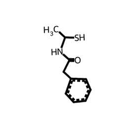 CC(S)NC(=O)Cc1ccccc1